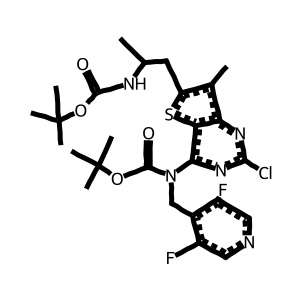 Cc1c(CC(C)NC(=O)OC(C)(C)C)sc2c(N(Cc3c(F)cncc3F)C(=O)OC(C)(C)C)nc(Cl)nc12